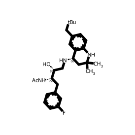 CC(=O)N[C@@H](Cc1cccc(F)c1)[C@H](O)CN[C@H]1CC(C)(C)Nc2ccc(CC(C)(C)C)cc21